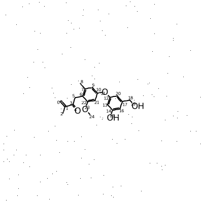 C=C(C)C(=O)Cc1c(C)cc(Oc2cc(O)cc(CO)c2)cc1OC